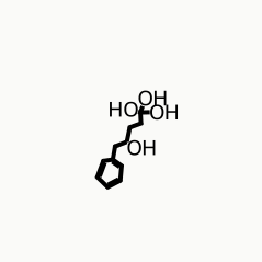 OC(CCC(O)(O)O)Cc1ccccc1